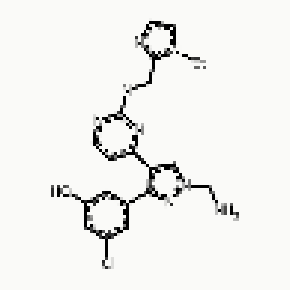 CCn1ccnc1CNc1nccc(-c2cn(CN)nc2-c2cc(O)cc(Cl)c2)n1